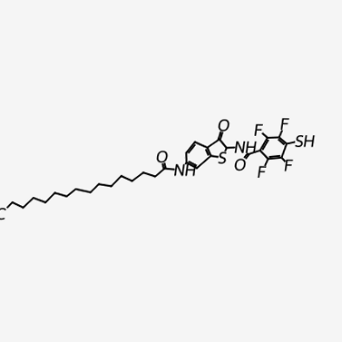 CCCCCCCCCCCCCCCC(=O)Nc1ccc2c(c1)SC(NC(=O)c1c(F)c(F)c(S)c(F)c1F)C2=O